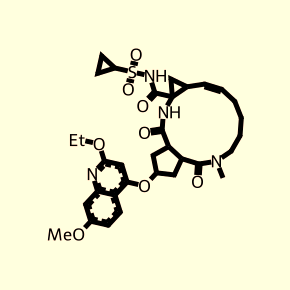 CCOc1cc(OC2CC3C(=O)NC4(C(=O)NS(=O)(=O)C5CC5)CC4C=CCCCCN(C)C(=O)C3C2)c2ccc(OC)cc2n1